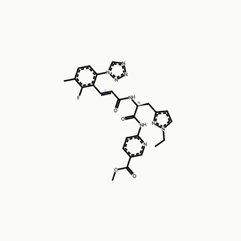 CCn1ccc(C[C@H](NC(=O)/C=C/c2c(-n3cnnn3)ccc(C)c2F)C(=O)Nc2ccc(C(=O)OC)cn2)n1